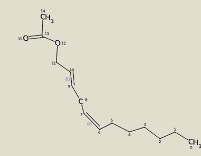 CCCCCC/C=C\C/C=C/COC(C)=O